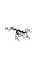 COCC[C@@H](CCCCC(C)C)CC(C)(C)C